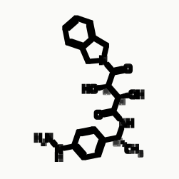 C[C@@H](NC(=O)[C@H](O)[C@@H](O)C(=O)N1Cc2ccccc2C1)c1ccc(NN)cc1